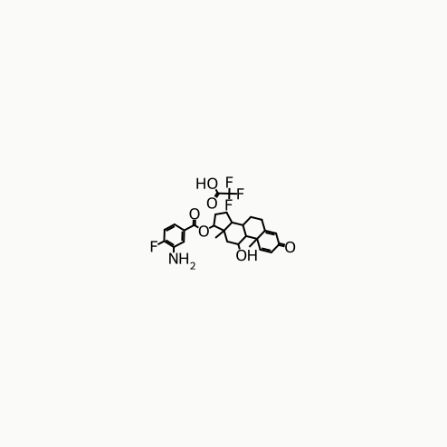 CC12C=CC(=O)C=C1CCC1C2C(O)CC2(C)C(OC(=O)c3ccc(F)c(N)c3)CCC12.O=C(O)C(F)(F)F